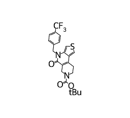 CC(C)(C)OC(=O)N1CCc2c(c(=O)n(Cc3ccc(C(F)(F)F)cc3)c3cscc23)C1